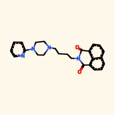 O=C1c2cccc3cccc(c23)C(=O)N1CCCCN1CCN(c2ccccn2)CC1